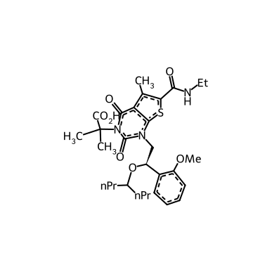 CCCC(CCC)O[C@@H](Cn1c(=O)n(C(C)(C)C(=O)O)c(=O)c2c(C)c(C(=O)NCC)sc21)c1ccccc1OC